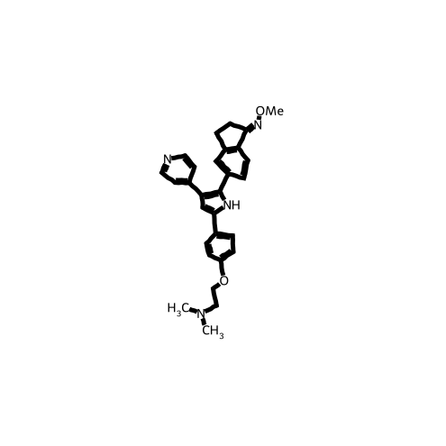 CON=C1CCc2cc(-c3[nH]c(-c4ccc(OCCN(C)C)cc4)cc3-c3ccncc3)ccc21